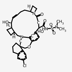 CN(C)S(=O)(=O)NC(=O)[C@]1(O)CC(=O)N2CC[C@@H]2CC/C=C/[C@H](O)[C@@H]2CC[C@H]2CN2C[C@@]3(CCCc4cc(Cl)ccc43)COc3ccc1cc32